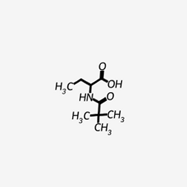 CCC(NC(=O)C(C)(C)C)C(=O)O